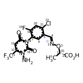 C[C@H](O/N=C/c1cc(-n2c(=O)cc(C(F)(F)F)n(N)c2=O)c(F)cc1Cl)C(=O)O